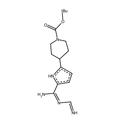 CC(C)(C)OC(=O)N1CCC(c2ccc(/C(N)=N\C=N)[nH]2)CC1